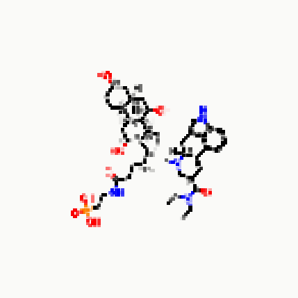 CCN(CC)C(=O)[C@@H]1C=C2c3cccc4[nH]cc(c34)C[C@H]2N(C)C1.C[C@H](CCC(=O)NCCP(=O)(O)O)[C@H]1CC[C@H]2[C@@H]3[C@H](O)C[C@@H]4C[C@H](O)CC[C@]4(C)[C@H]3C[C@H](O)[C@]12C